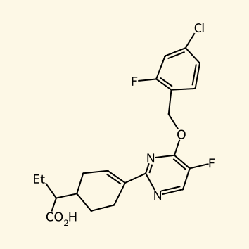 CCC(C(=O)O)C1CC=C(c2ncc(F)c(OCc3ccc(Cl)cc3F)n2)CC1